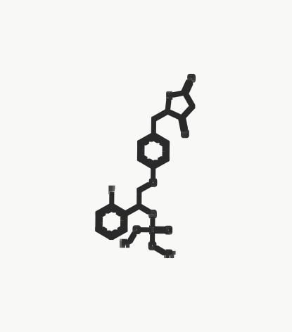 CC(C)OP(=O)(OC(C)C)OC(COc1ccc(CC2SC(=O)CC2=O)cc1)c1ccccc1F